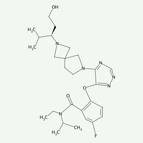 CCN(C(=O)c1cc(F)ccc1Oc1nncnc1N1CCC2(C1)CN([C@H](CCO)C(C)C)C2)C(C)C